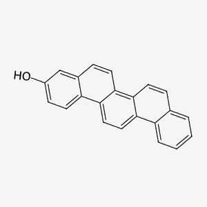 Oc1ccc2c(ccc3c2ccc2c4ccccc4ccc23)c1